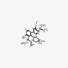 Cc1ncc(-c2cnc(N(C)C)c(F)c2)c(N2CCC(C)(C)CC2)c1C(OC(C)(C)C)C(=O)O